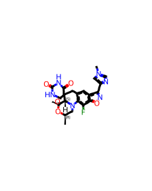 C[C@@H]1CN2c3c(cc4c(-c5cn(C)cn5)noc4c3F)CC3(C(=O)NC(=O)NC3=O)[C@H]2[C@H](C)O1